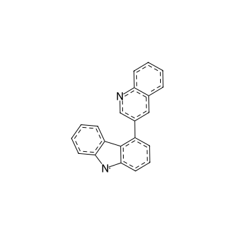 c1ccc2c(c1)[N]c1cccc(-c3cnc4ccccc4c3)c1-2